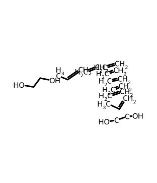 C=C.C=C.C=C.C=C.C=C.C=C.C=CC.C=CC.OCCO.OCCO